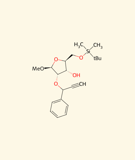 C#CC(O[C@@H]1[C@@H](OC)O[C@@H](CO[Si](C)(C)C(C)(C)C)[C@@H]1O)c1ccccc1